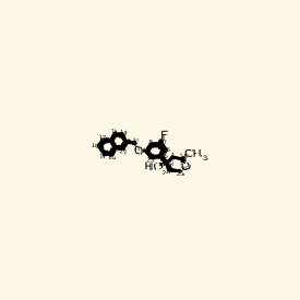 CC1CC(O)(c2cc(F)cc(OCc3ccc4ccccc4c3)c2)CCO1